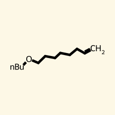 C=CCCCCCCOCCCC